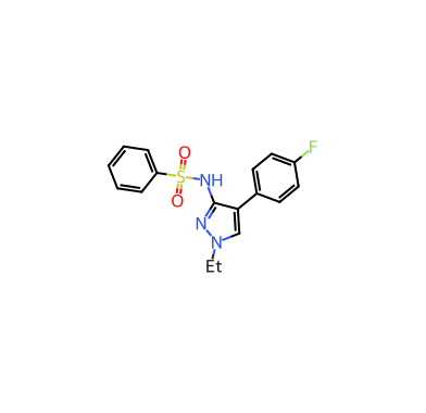 CCn1cc(-c2ccc(F)cc2)c(NS(=O)(=O)c2ccccc2)n1